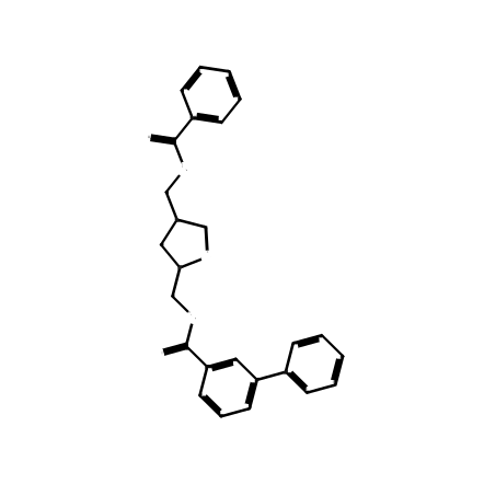 O=C(NCC1COC(CNC(=O)c2cccc(-c3ccccc3)c2)C1)c1ccccc1